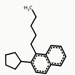 [CH2]CCCCc1c(C2CCCC2)ccc2ccccc12